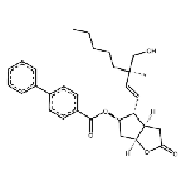 CCCCC[C@](C)(/C=C/[C@@H]1[C@H]2CC(=O)O[C@H]2C[C@H]1OC(=O)c1ccc(-c2ccccc2)cc1)CO